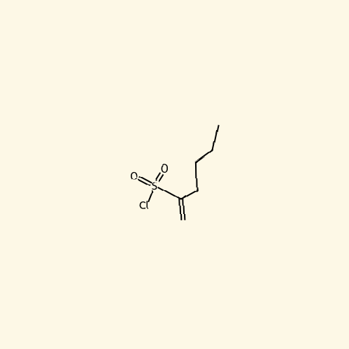 C=C(CCCC)S(=O)(=O)Cl